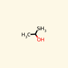 CC(O)[SiH3]